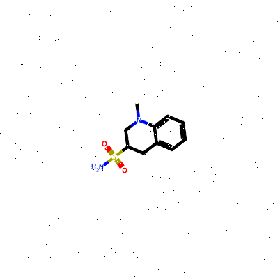 CN1CC(S(N)(=O)=O)Cc2ccccc21